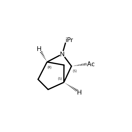 CC(=O)[C@@H]1[C@H]2CC[C@H](C2)N1C(C)C